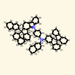 c1ccc2c(c1)-c1ccccc1C21c2ccccc2-c2cc(N(c3ccc(-n4c5ccccc5c5ccc6c(c54)-c4ccccc4C6(c4ccc5ccccc5c4)c4cccc5ccccc45)cc3)c3ccc4ccccc4c3)ccc21